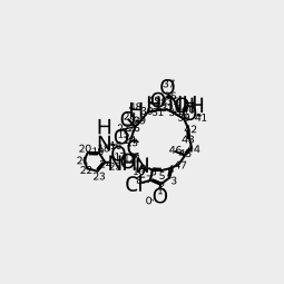 COc1cc2cc(c1Cl)N(C)C(=O)C[C@H](OC(=O)NC1=CCCC=C1N)[C@]1(C)O[C@H]1C[C@@H]1C[C@@](O)(NC(=O)O1)[C@H](OC)/C=C/C=C(\C)C2